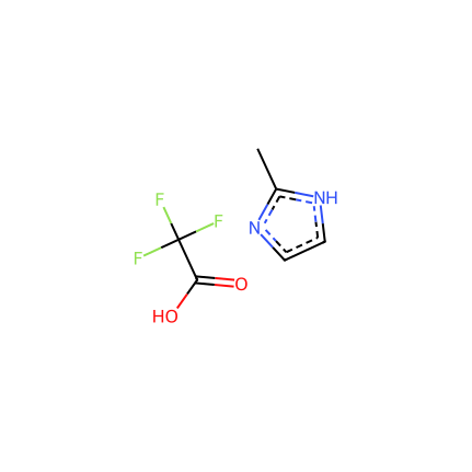 Cc1ncc[nH]1.O=C(O)C(F)(F)F